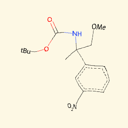 COCC(C)(NC(=O)OC(C)(C)C)c1cccc([N+](=O)[O-])c1